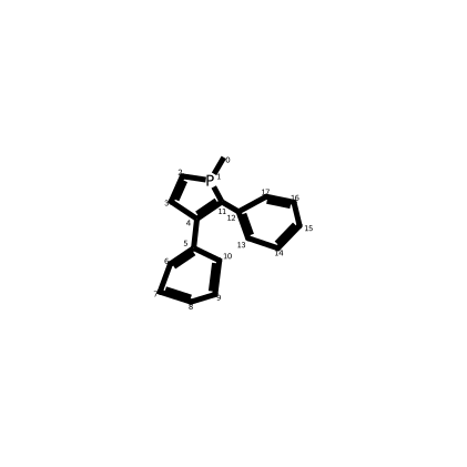 Cp1ccc(-c2ccccc2)c1-c1ccccc1